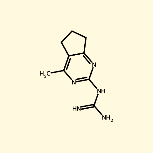 Cc1nc(NC(=N)N)nc2c1CCC2